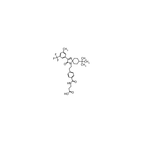 Cc1cc(C2=NC3(CCC(C(C)(C)C)CC3)N(CCc3ccc(C(=O)NCCC(=O)O)cc3)C2=O)cc(C(F)(F)F)c1